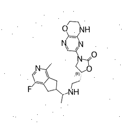 Cc1ncc(F)c2c1CC(C(C)NCC[C@@H]1CN(c3cnc4c(n3)NCCO4)C(=O)O1)C2